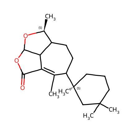 CC1=C2C(=O)OC3O[C@@H](C)C(CCC1[C@@]1(C)CCCC(C)(C)C1)C23